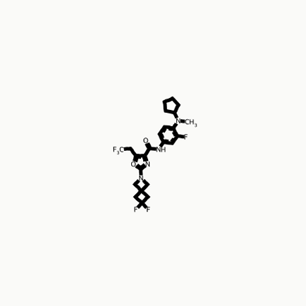 CN(c1ccc(NC(=O)c2nc(N3CC4(C3)CC(F)(F)C4)oc2CC(F)(F)F)cc1F)C1CCCC1